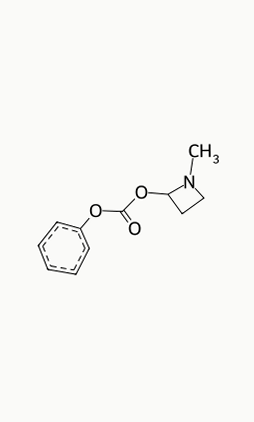 CN1CCC1OC(=O)Oc1ccccc1